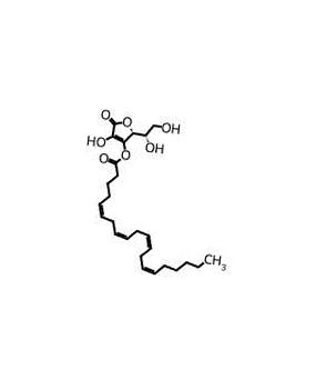 CCCCC/C=C\C/C=C\C/C=C\C/C=C\CCCC(=O)OC1=C(O)C(=O)O[C@@H]1[C@@H](O)CO